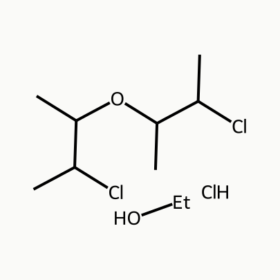 CC(Cl)C(C)OC(C)C(C)Cl.CCO.Cl